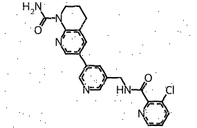 NC(=O)N1CCCc2cc(-c3cncc(CNC(=O)c4ncccc4Cl)c3)cnc21